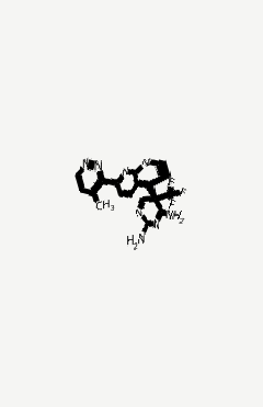 Cc1ccnnc1-c1ccc2c(C3(C(F)(F)F)C=NC(N)N=C3N)ccnc2n1